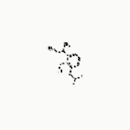 C=C[C](C)c1cccc(OC(F)F)c1CC